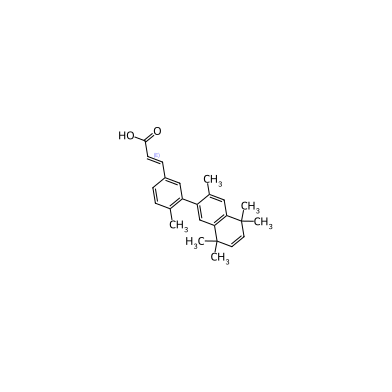 Cc1ccc(/C=C/C(=O)O)cc1-c1cc2c(cc1C)C(C)(C)C=CC2(C)C